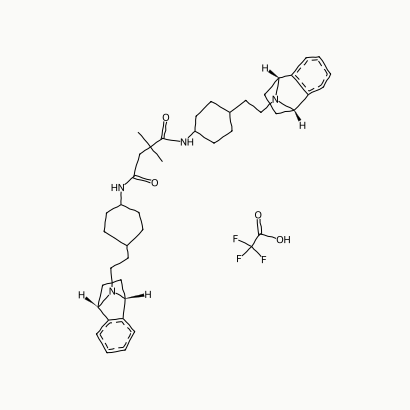 CC(C)(CC(=O)NC1CCC(CCN2[C@@H]3CC[C@H]2c2ccccc23)CC1)C(=O)NC1CCC(CCN2[C@@H]3CC[C@H]2c2ccccc23)CC1.O=C(O)C(F)(F)F